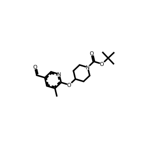 Cc1cc(C=O)cnc1OC1CCN(C(=O)OC(C)(C)C)CC1